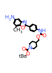 Cc1cc(N)cc2nc(-c3ccc(NC(=O)OCC4CCN(C(=O)OC(C)(C)C)CC4)cc3)oc12